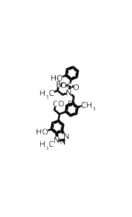 CCOC(=O)CC(c1ccc(C)c(CN(CC(C)Br)S(=O)(=O)c2ccccc2O)c1)c1cc(O)c2c(c1)nnn2C